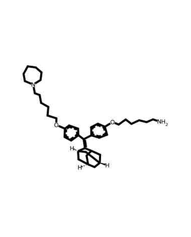 NCCCCCCOc1ccc(C(c2ccc(OCCCCCCN3CCCCCC3)cc2)=C2C3C[C@H]4C[C@@H](C3)C[C@H]2C4)cc1